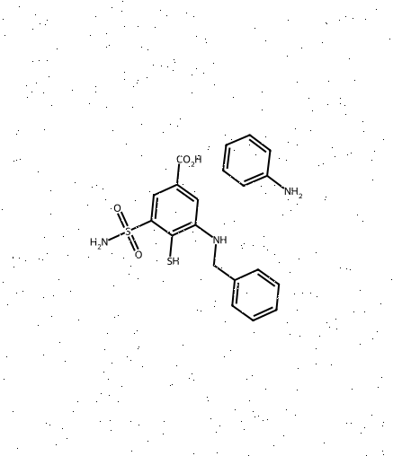 NS(=O)(=O)c1cc(C(=O)O)cc(NCc2ccccc2)c1S.Nc1ccccc1